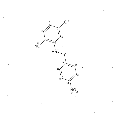 N#Cc1cnc(Cl)cc1NCc1ccc([N+](=O)[O-])cc1